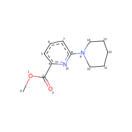 COC(=O)c1cccc(N2CCCCC2)n1